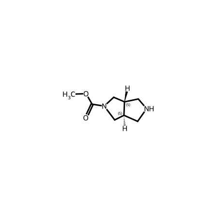 COC(=O)N1C[C@@H]2CNC[C@H]2C1